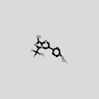 N#Cc1nc(C(F)(F)P)n2cc(-c3ccc(OC(F)(F)F)cc3)cnc12